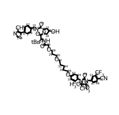 Cc1ncsc1-c1ccc(CNC(=O)[C@@H]2C[C@@H](O)CN2C(=O)[C@@H](NC(=O)COCCCOCCCCCOc2ccc(N3C(=O)N(c4ccc(C#N)c(C(F)(F)F)c4)C(=O)C3(C)C)cc2)C(C)(C)C)cc1